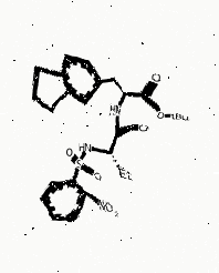 CC[C@H](NS(=O)(=O)c1ccccc1[N+](=O)[O-])C(=O)N[C@@H](Cc1ccc2c(c1)CCC2)C(=O)OC(C)(C)C